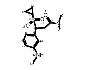 CN(C)C(=O)CC(c1cccc(NI)c1)S(=O)(=O)C1CC1